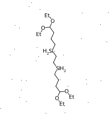 CCOC(CCC[SiH2]CC[SiH2]CCCC(OCC)OCC)OCC